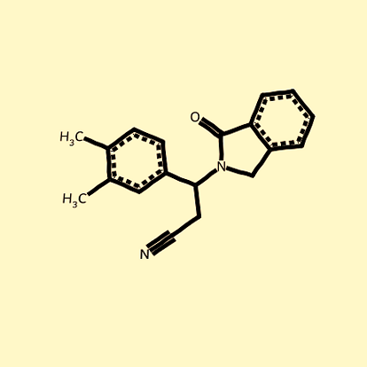 Cc1ccc(C(CC#N)N2Cc3ccccc3C2=O)cc1C